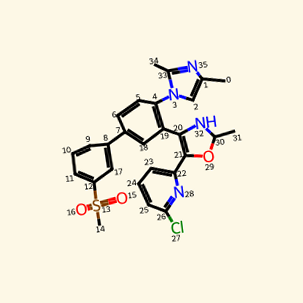 Cc1cn(-c2ccc(-c3cccc(S(C)(=O)=O)c3)cc2C2=C(c3cccc(Cl)n3)OC(C)N2)c(C)n1